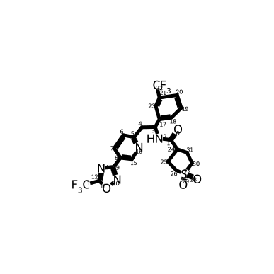 O=C(NC(Cc1ccc(-c2noc(C(F)(F)F)n2)cn1)c1cccc(C(F)(F)F)c1)C1CCS(=O)(=O)CC1